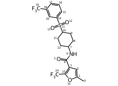 Cc1cc(C(=O)NC2CCC(S(=O)(=O)c3cccc(C(F)(F)F)c3)CC2)c(C(F)(F)F)o1